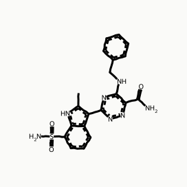 Cc1[nH]c2c(S(N)(=O)=O)cccc2c1-c1nnc(C(N)=O)c(NCc2ccccc2)n1